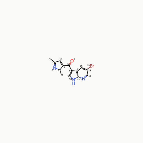 CC1=NC(C)C(C(=O)c2c[nH]c3ncc(Br)cc23)=C1